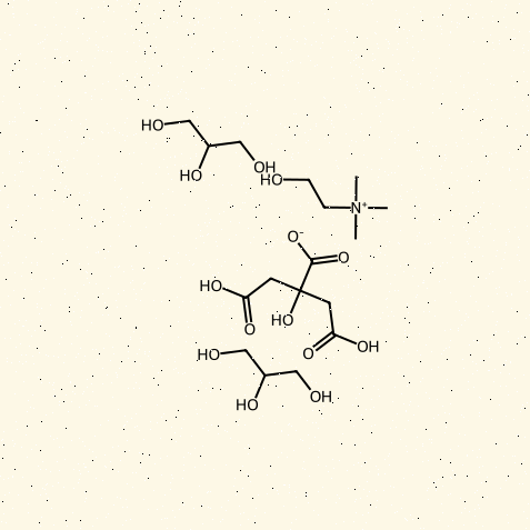 C[N+](C)(C)CCO.O=C(O)CC(O)(CC(=O)O)C(=O)[O-].OCC(O)CO.OCC(O)CO